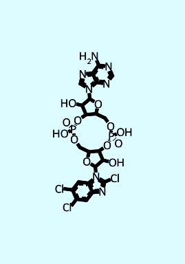 Nc1ncnc2c1ncn2C1OC2COP(=O)(O)OC3C(COP(=O)(O)OC2C1O)OC(n1c(Cl)nc2cc(Cl)c(Cl)cc21)C3O